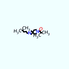 CC(C)CCCN1CC2(CCN(C(=O)C(C)C)CC2)C1